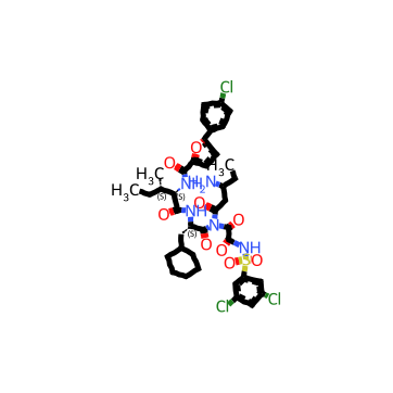 CCC(N)CC(=O)N(C(=O)C(=O)NS(=O)(=O)c1cc(Cl)cc(Cl)c1)C(=O)[C@H](CC1CCCCC1)NC(=O)[C@@H](NC(=O)c1ccc(-c2ccc(Cl)cc2)o1)[C@@H](C)CC